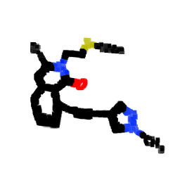 CCc1cc2cccc(C#Cc3cnn(C)c3)c2c(=O)n1CCSNC